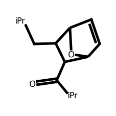 CC(C)CC1C2C=CC(O2)C1C(=O)C(C)C